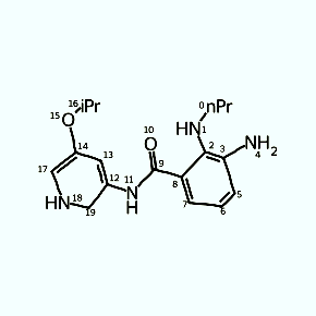 CCCNc1c(N)cccc1C(=O)NC1=CC(OC(C)C)=CNC1